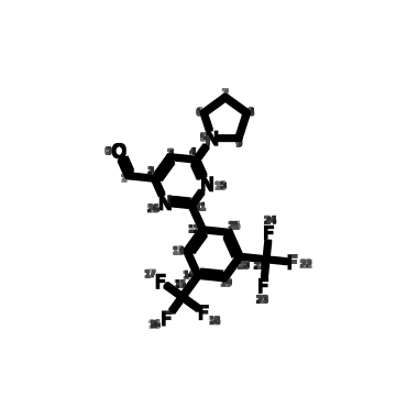 O=Cc1cc(N2CCCC2)nc(-c2cc(C(F)(F)F)cc(C(F)(F)F)c2)n1